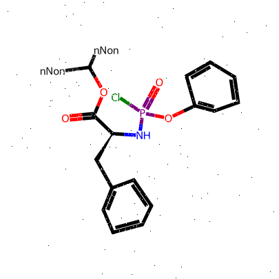 CCCCCCCCCC(CCCCCCCCC)OC(=O)[C@H](Cc1ccccc1)NP(=O)(Cl)Oc1ccccc1